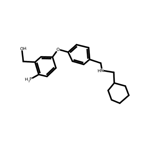 OCc1cc(Oc2ccc(CNCC3CCCCC3)cc2)ccc1P